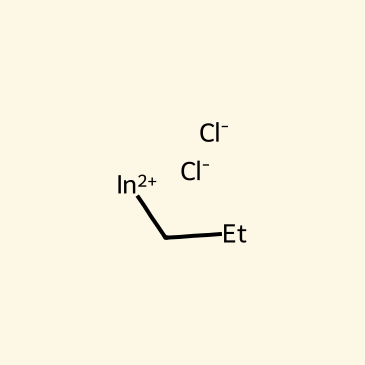 CC[CH2][In+2].[Cl-].[Cl-]